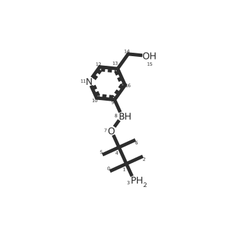 CC(C)(P)C(C)(C)OBc1cncc(CO)c1